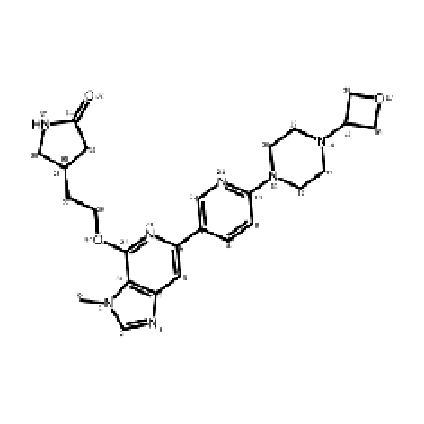 Cn1cnc2cc(-c3ccc(N4CCN(C5COC5)CC4)nc3)nc(OCC[C@H]3CNC(=O)C3)c21